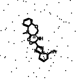 CCCc1cccc2nc(C(=O)N[C@H]3COc4ccccc4N(C)C3=O)nn12